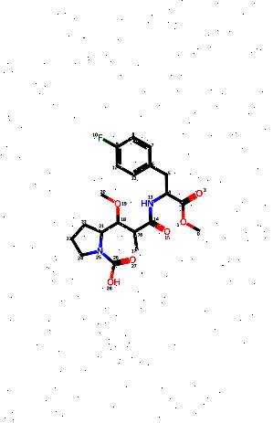 COC(=O)C(Cc1ccc(F)cc1)NC(=O)C(C)C(OC)C1CCCN1C(=O)O